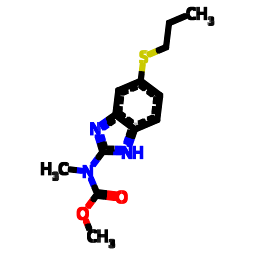 CCCSc1ccc2[nH]c(N(C)C(=O)OC)nc2c1